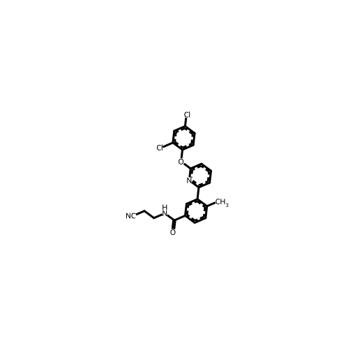 Cc1ccc(C(=O)NCCC#N)cc1-c1cccc(Oc2ccc(Cl)cc2Cl)n1